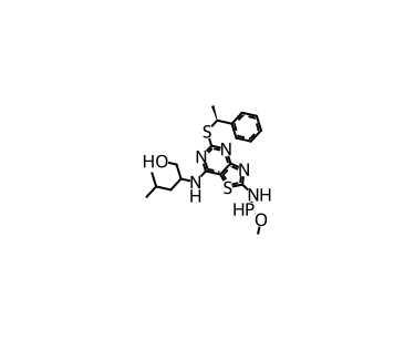 COPNc1nc2nc(S[C@@H](C)c3ccccc3)nc(NC(CO)CC(C)C)c2s1